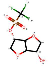 O=S(=O)(O[C@H]1COC2C1OC[C@@H]2O)C(F)(F)F